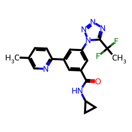 Cc1ccc(-c2cc(C(=O)NC3CC3)cc(-n3nnnc3C(C)(F)F)c2)nc1